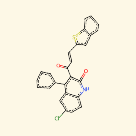 O=C(C=Cc1cc2ccccc2s1)c1c(-c2ccccc2)c2cc(Cl)ccc2[nH]c1=O